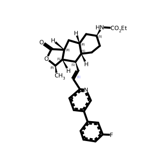 CCOC(=O)N[C@H]1CC[C@H]2[C@@H](C1)C[C@H]1C(=O)O[C@H](C)[C@H]1[C@@H]2/C=C/c1ccc(-c2cccc(F)c2)cn1